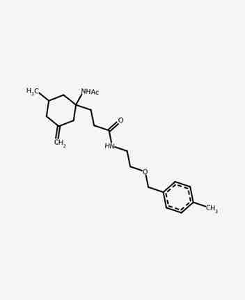 C=C1CC(C)CC(CCC(=O)NCCOCc2ccc(C)cc2)(NC(C)=O)C1